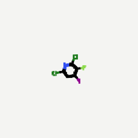 Fc1c(I)cc(Cl)nc1Cl